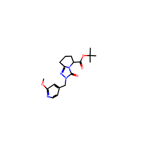 COc1cc(Cn2nc3n(c2=O)C(C(=O)OC(C)(C)C)CCC3)ccn1